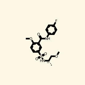 COC[C@H](C)NS(=O)(=O)c1ccc(OC)c(C(=O)Nc2ccc(F)cc2)c1